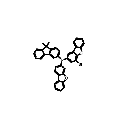 CC1(C)c2ccccc2-c2cc(N(c3ccc4c(c3)oc3ccccc34)c3cc(Br)c4oc5ccccc5c4c3)ccc21